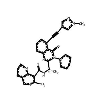 C[C@H](NC(=O)c1c(N)ncc2cccnc12)c1nc2cccc(C#Cc3cnn(C)c3)c2c(=O)n1-c1ccccc1